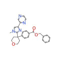 Cn1cc(-c2cnccn2)nc1C1(c2ccc(C(=O)OCc3ccccc3)cc2)CCOCC1